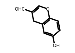 O=CC1=COc2ccc(O)cc2C1